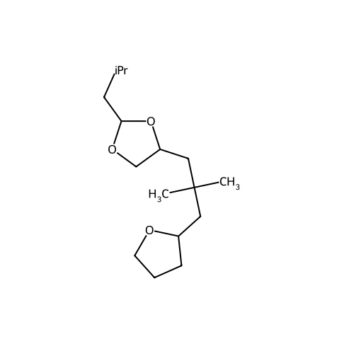 CC(C)CC1OCC(CC(C)(C)CC2CCCO2)O1